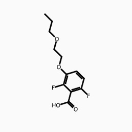 CCCOCCOc1ccc(F)c(C(=O)O)c1F